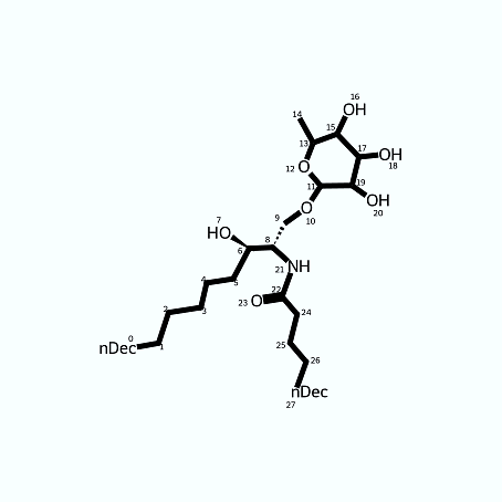 CCCCCCCCCCCCCCC[C@@H](O)[C@H](COC1OC(C)C(O)C(O)C1O)NC(=O)CCCCCCCCCCCCC